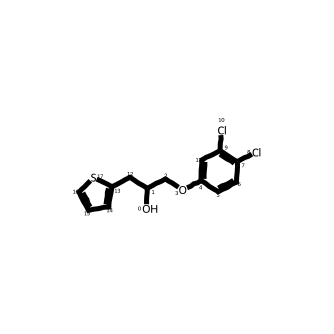 OC(COc1ccc(Cl)c(Cl)c1)Cc1cccs1